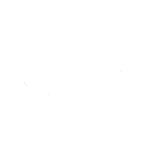 CCc1ccc2cc(-c3ccc(C#N)c(F)c3)ccc2c1